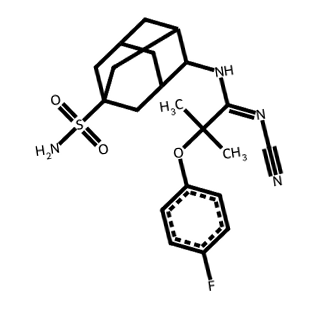 CC(C)(Oc1ccc(F)cc1)/C(=N\C#N)NC1C2CC3CC1CC(S(N)(=O)=O)(C3)C2